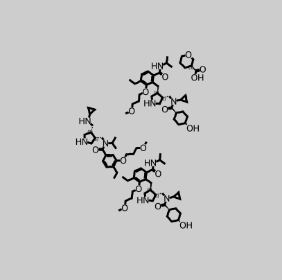 CCc1ccc(C(=O)N(C[C@@H]2CNC[C@@H]2CNC2CC2)C(C)C)cc1OCCCOC.CCc1ccc(C(=O)NC(C)C)c(C[C@@H]2CNC[C@H]2CN(C(=O)[C@H]2CC[C@@H](O)CC2)C2CC2)c1OCCCOC.CCc1ccc(C(=O)NC(C)C)c(C[C@@H]2CNC[C@H]2CN(C(=O)[C@H]2CC[C@H](O)CC2)C2CC2)c1OCCCOC.O=C(O)[C@H]1CCCOC1